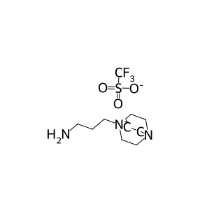 NCCC[N+]12CCN(CC1)CC2.O=S(=O)([O-])C(F)(F)F